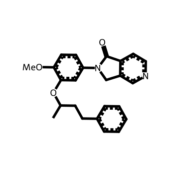 COc1ccc(N2Cc3cnccc3C2=O)cc1OC(C)CCc1ccccc1